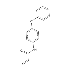 C=CC(=O)Nc1ccc(Oc2cccnc2)cc1